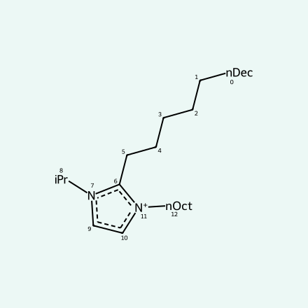 CCCCCCCCCCCCCCCc1n(C(C)C)cc[n+]1CCCCCCCC